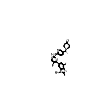 Cc1nc2c(F)cc(-c3nc(Nc4ccc([C@@H](C)N5CCC(=O)CC5)cn4)ncc3F)cc2n1C(C)C